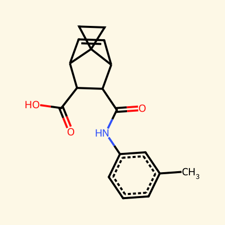 Cc1cccc(NC(=O)C2C(C(=O)O)C3C=CC2C32CC2)c1